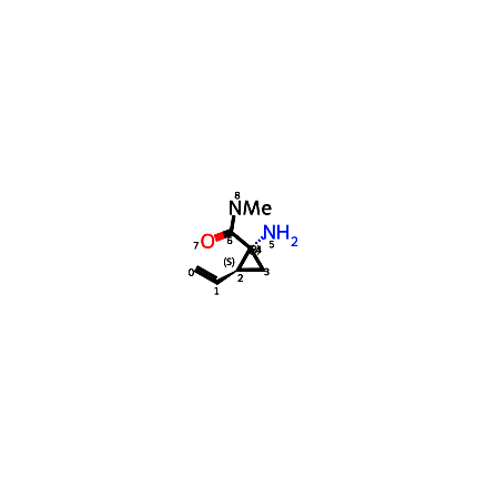 C=C[C@@H]1C[C@]1(N)C(=O)NC